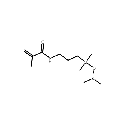 C=C(C)C(=O)NCCC[Si](C)(C)O[SiH](C)C